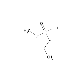 CC[CH]P(=O)(O)OC